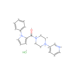 Cl.O=C(c1cccn1-c1ccccc1)N1CCN(c2cccnc2)CC1